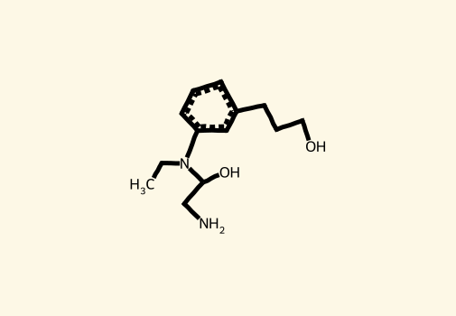 CCN(c1cccc(CCCO)c1)C(O)CN